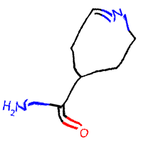 NC(=O)C1CC=NCC1